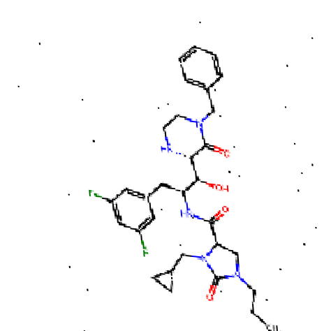 CCCN1CC(C(=O)N[C@@H](Cc2cc(F)cc(F)c2)[C@H](O)[C@@H]2NCCN(Cc3ccccc3)C2=O)N(CC2CC2)C1=O